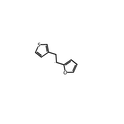 [CH](Cc1ccsc1)c1ccco1